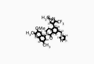 COc1cc2c(N3CCc4c(cc(Cn5ccnc5)cc4-c4cn(C)nc4C(F)(F)F)C3=O)cc(C)cc2nc1C